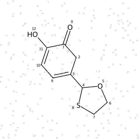 O=C1CC(C2OCCS2)=CC=C1O